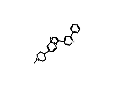 CN1CCC(c2ccn3c(-c4ccnc(-c5ccccc5)c4)cnc3c2)CC1